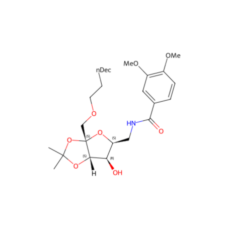 CCCCCCCCCCCCOC[C@@]12O[C@@H](CNC(=O)c3ccc(OC)c(OC)c3)[C@@H](O)[C@@H]1OC(C)(C)O2